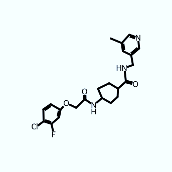 Cc1cncc(CNC(=O)C2CCC(NC(=O)COc3ccc(Cl)c(F)c3)CC2)c1